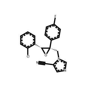 N#Cc1cncn1C[C@]1(c2ccc(F)cc2)O[C@@H]1c1ccccc1Cl